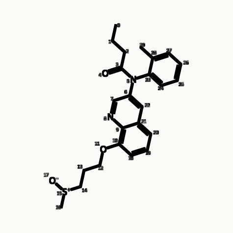 CCCC(=O)N(c1cnc2c(OCCC[S+](C)[O-])cccc2c1)c1ccccc1C